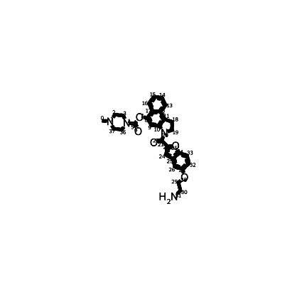 CN1CCN(C(=O)Oc2cc3c(c4ccccc24)CCN3C(=O)c2cc3cc(OCCN)ccc3o2)CC1